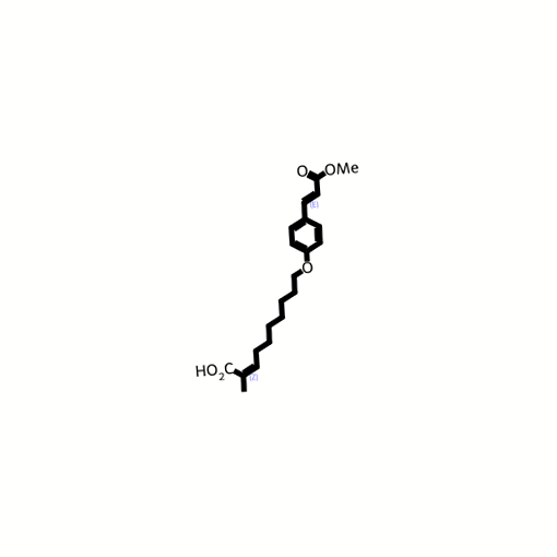 COC(=O)/C=C/c1ccc(OCCCCCCC/C=C(/C)C(=O)O)cc1